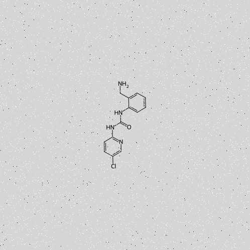 NCc1ccccc1NC(=O)Nc1ccc(Cl)cn1